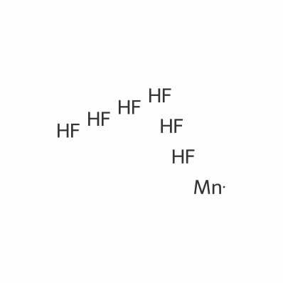 F.F.F.F.F.F.[Mn]